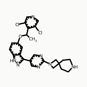 CC(Oc1ccc2[nH]nc(-c3cnc(N4CC5(CCNCC5)C4)nc3)c2c1)c1c(Cl)cncc1Cl